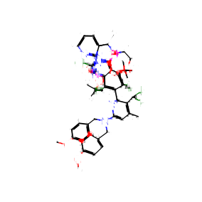 COc1ccc(CN(Cc2ccc(OC)cc2)c2cc(C)c(C(F)(F)F)c(-c3c(Cl)c4c5c(nc(Cl)nc5c3F)N([C@H](C)c3cccnc3N(C(=O)OC(C)(C)C)C(=O)OC(C)(C)C)CCO4)n2)cc1